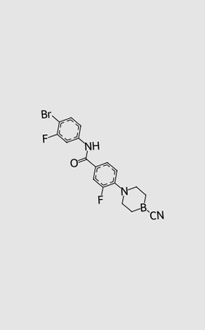 N#CB1CCN(c2ccc(C(=O)Nc3ccc(Br)c(F)c3)cc2F)CC1